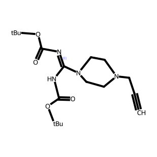 C#CCN1CCN(/C(=N/C(=O)OC(C)(C)C)NC(=O)OC(C)(C)C)CC1